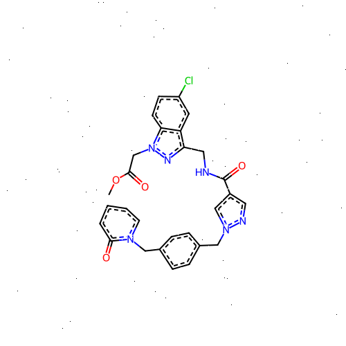 COC(=O)Cn1nc(CNC(=O)c2cnn(Cc3ccc(Cn4ccccc4=O)cc3)c2)c2cc(Cl)ccc21